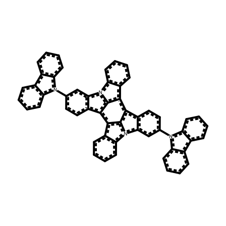 c1ccc2c(c1)c1ccccc1n2-c1ccc2c3c4c5ccccc5n5c6cc(-n7c8ccccc8c8ccccc87)ccc6c(c6c7ccccc7n(c2c1)c63)c45